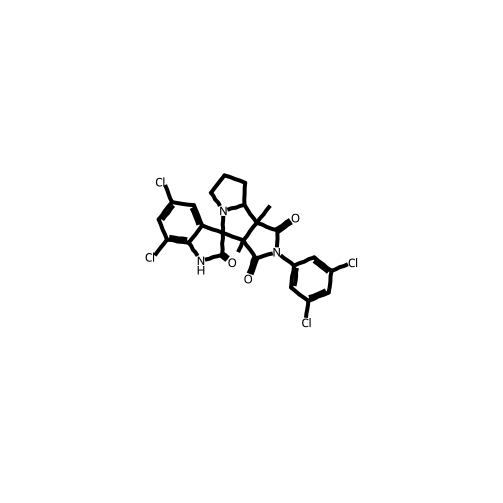 CC12C(=O)N(c3cc(Cl)cc(Cl)c3)C(=O)C1(C)C1(C(=O)Nc3c(Cl)cc(Cl)cc31)N1CCCC12